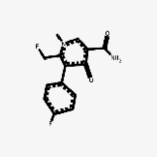 Cn1cc(C(N)=O)c(=O)c(-c2ccc(F)cc2)c1CF